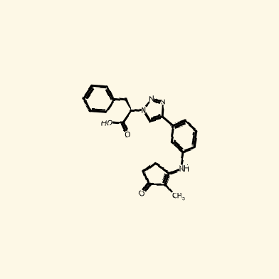 CC1=C(Nc2cccc(-c3cn([C@H](Cc4ccccc4)C(=O)O)nn3)c2)CCC1=O